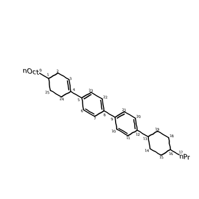 CCCCCCCCC1CC=C(c2ccc(-c3ccc(C4CCC(CCC)CC4)cc3)cc2)CC1